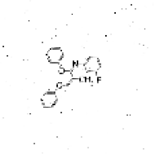 CC(=COc1ccccc1)C(=Nc1cccc(F)c1)Oc1ccccc1